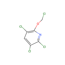 ClCOc1nc(Cl)c(Cl)cc1Cl